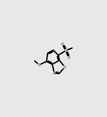 COc1ccc(S(C)(=O)=O)c2ocnc12